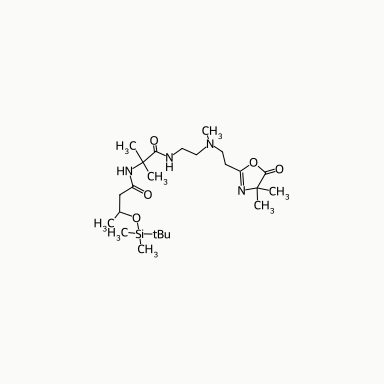 CC(CC(=O)NC(C)(C)C(=O)NCCN(C)CCC1=NC(C)(C)C(=O)O1)O[Si](C)(C)C(C)(C)C